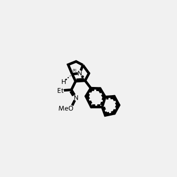 CCC(=NOC)C1=C(c2ccc3ccccc3c2)CC2CC[C@H]1N2C